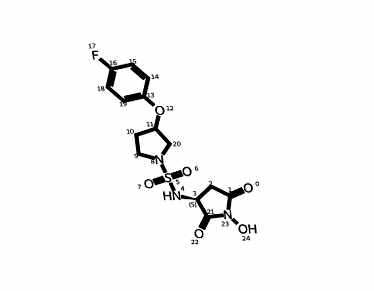 O=C1C[C@H](NS(=O)(=O)N2CCC(Oc3ccc(F)cc3)C2)C(=O)N1O